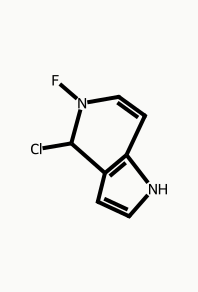 FN1C=Cc2[nH]ccc2C1Cl